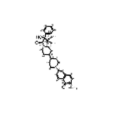 Cn1ccc2cc(N3CCC(C4CCN(C(=O)[C@](O)(c5ccccc5)C(F)(F)F)CC4)CC3)ccc2c1=O